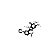 CC[S+]([O-])c1ccc(-n2cncn2)nc1-c1nc2cc(C(F)(F)F)n(OC)c(=O)c2n1C